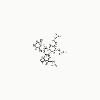 CNS(=O)(=O)c1ccsc1C(=O)O[C@@H](Cc1c(Cl)cncc1Cl)c1ccc(OC(F)F)c(OCC2CC2)c1